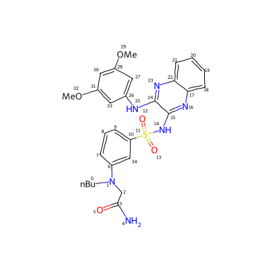 CCCCN(CC(N)=O)c1cccc(S(=O)(=O)Nc2nc3ccccc3nc2Nc2cc(OC)cc(OC)c2)c1